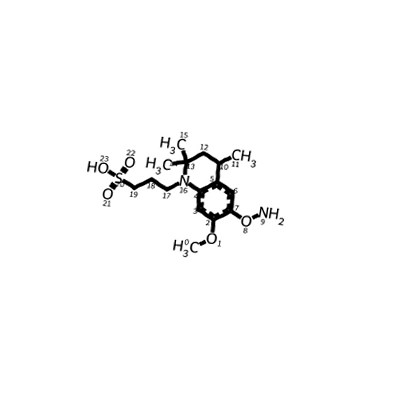 COc1cc2c(cc1ON)C(C)CC(C)(C)N2CCCS(=O)(=O)O